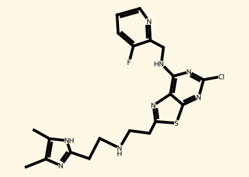 Cc1nc(CCNCCc2nc3c(NCc4ncccc4F)nc(Cl)nc3s2)[nH]c1C